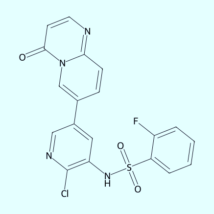 O=c1ccnc2ccc(-c3cnc(Cl)c(NS(=O)(=O)c4ccccc4F)c3)cn12